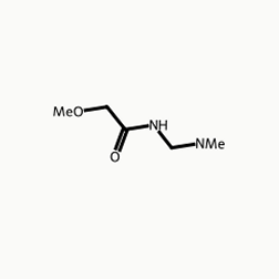 CNCNC(=O)COC